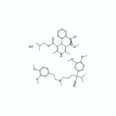 COC(=O)C1=C(C)NC(C)=C(C(=O)OCC(C)C)C1c1ccccc1[N+](=O)[O-].COc1ccc(CCN(C)CCCC(C#N)(c2ccc(OC)c(OC)c2)C(C)C)cc1OC.Cl